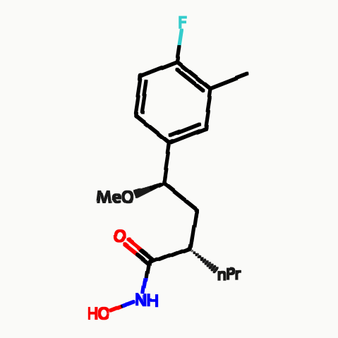 CCC[C@@H](C[C@@H](OC)c1ccc(F)c(C)c1)C(=O)NO